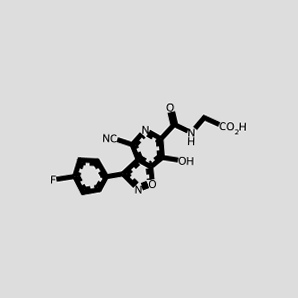 N#Cc1nc(C(=O)NCC(=O)O)c(O)c2onc(-c3ccc(F)cc3)c12